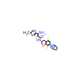 Cc1cnc2c(N)c(C(=O)N[C@H]3COc4c(F)c(N5CC6CCC(C5)N6)cc(F)c4C3)sc2n1